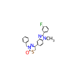 Cn1c(-c2cccc(F)c2)nc2cc(C3=NN(Cc4ccccc4)C(=O)SC3)ccc21